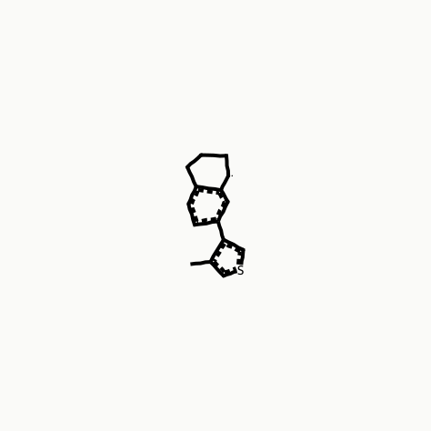 Cc1cscc1-c1ccc2c(c1)[CH]CCC2